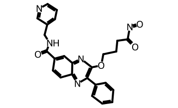 O=NC(=O)CCCOc1nc2cc(C(=O)NCc3cccnc3)ccc2nc1-c1ccccc1